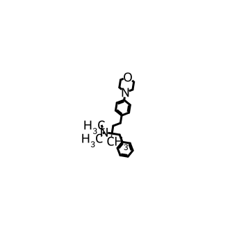 CN(C)[C@@](C)(CCc1ccc(N2CCOCC2)cc1)Cc1ccccc1